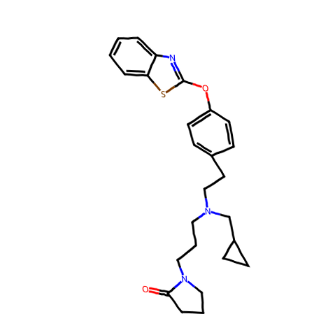 O=C1CCCN1CCCN(CCc1ccc(Oc2nc3ccccc3s2)cc1)CC1CC1